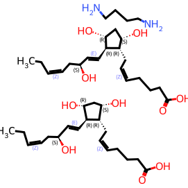 CC/C=C\C[C@H](O)/C=C/[C@@H]1[C@@H](C/C=C\CCCC(=O)O)[C@@H](O)C[C@H]1O.CC/C=C\C[C@H](O)/C=C/[C@@H]1[C@@H](C/C=C\CCCC(=O)O)[C@@H](O)C[C@H]1O.NCCCCN